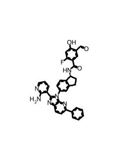 Nc1ncccc1-c1nc2ccc(-c3ccccc3)nc2n1-c1ccc2c(c1)CC[C@@H]2NC(=O)c1cc(C=O)c(O)cc1F